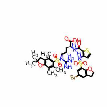 Cc1c(C)c(S(=O)(=O)N(CCC[C@H](NC(=O)c2sccc2NS(=O)(=O)c2cc(Br)cc3c2OCC3)C(=O)O)C(=N)N)c(C)c2c1OC(C)(C)C2